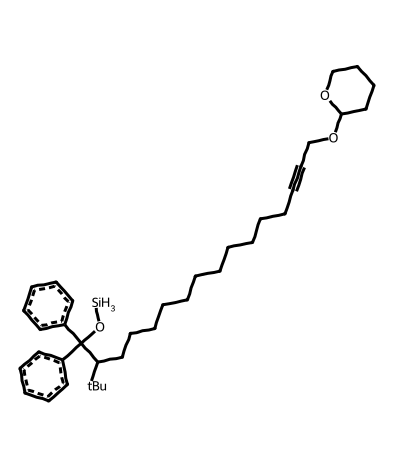 CC(C)(C)C(CCCCCCCCCCCC#CCOC1CCCCO1)C(O[SiH3])(c1ccccc1)c1ccccc1